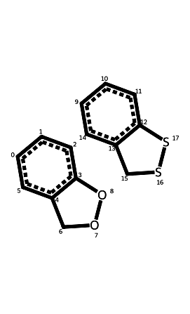 c1ccc2c(c1)COO2.c1ccc2c(c1)CSS2